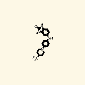 Cn1c(=O)n(C)c2cc(Nc3ccc(N4CCC(C(F)(F)F)CC4)cc3)ccc21